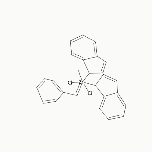 [CH3][Zr]([Cl])([Cl])(=[CH]c1ccccc1)([CH]1C=Cc2ccccc21)[CH]1C=Cc2ccccc21